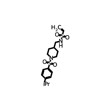 C=CS(=O)(=O)NCC1CCN(S(=O)(=O)c2ccc(C(C)C)cc2)CC1